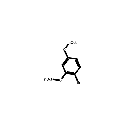 CCCCCCCCOc1ccc(Br)c(OCCCCCCCC)c1